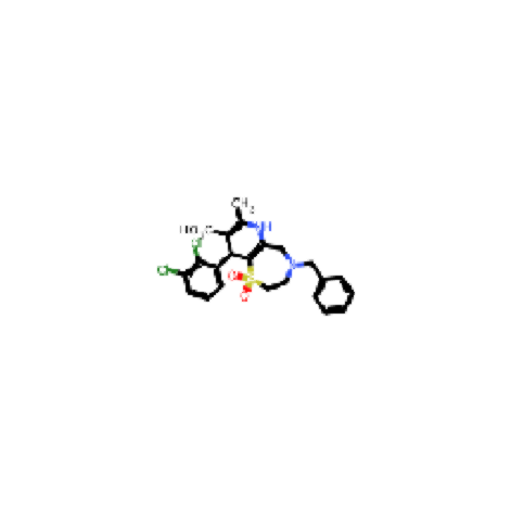 CC1=C(C(=O)O)C(c2cccc(Cl)c2Cl)C2=C(CN(Cc3ccccc3)CCS2(=O)=O)N1